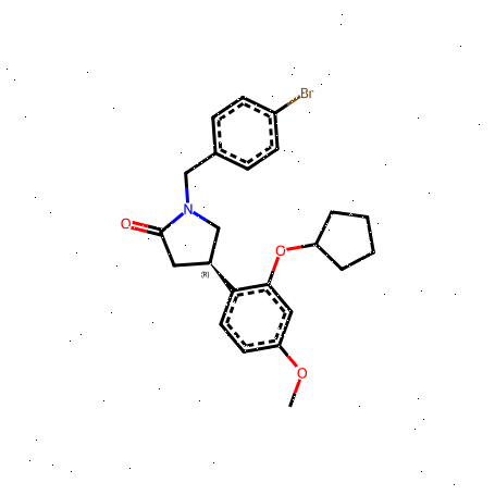 COc1ccc([C@H]2CC(=O)N(Cc3ccc(Br)cc3)C2)c(OC2CCCC2)c1